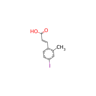 Cc1cc(I)ccc1C=CC(=O)O